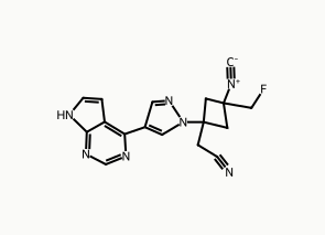 [C-]#[N+]C1(CF)CC(CC#N)(n2cc(-c3ncnc4[nH]ccc34)cn2)C1